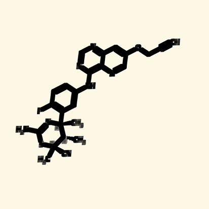 C#CCOc1cnc2c(Nc3ccc(F)c([C@@]4(C)N=C(N)S[C@](C)(C#N)[C@H]4C)c3)ncnc2c1